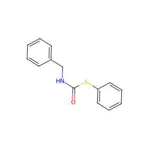 O=C(NCc1ccccc1)Sc1ccccc1